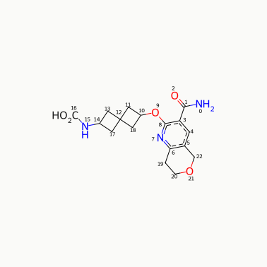 NC(=O)c1cc2c(nc1OC1CC3(CC(NC(=O)O)C3)C1)CCOC2